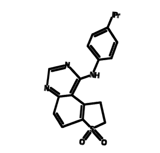 CC(C)c1ccc(Nc2ncnc3ccc4c(c23)CCS4(=O)=O)cc1